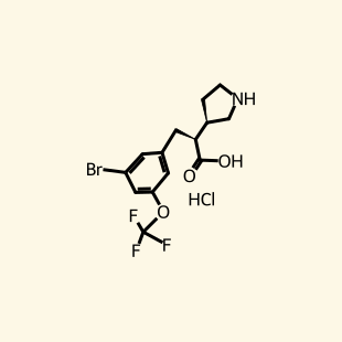 Cl.O=C(O)[C@@H](Cc1cc(Br)cc(OC(F)(F)F)c1)[C@H]1CCNC1